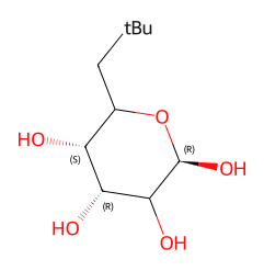 CC(C)(C)CC1O[C@@H](O)C(O)[C@H](O)[C@@H]1O